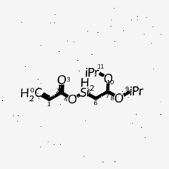 C=CC(=O)O[SiH2]CC(OC(C)C)OC(C)C